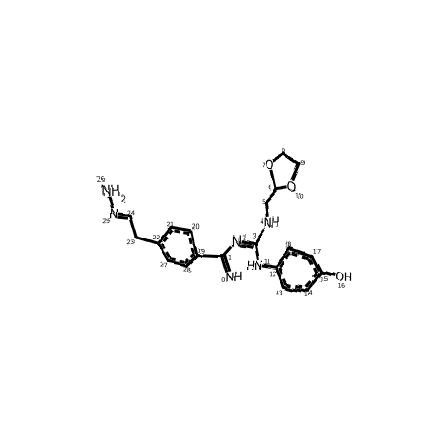 N=C(/N=C(/NCC1OCCO1)Nc1ccc(O)cc1)c1ccc(C/C=N/N)cc1